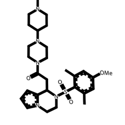 COc1cc(C)c(S(=O)(=O)N2CCn3cccc3C2CC(=O)N2CCN(C3CCN(C)CC3)CC2)c(C)c1